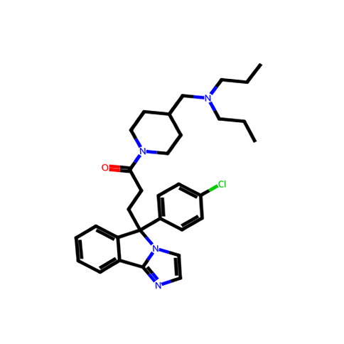 CCCN(CCC)CC1CCN(C(=O)CCC2(c3ccc(Cl)cc3)c3ccccc3-c3nccn32)CC1